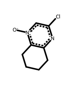 [O-][n+]1cc(Cl)nc2c1CCCC2